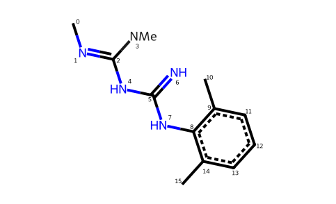 C/N=C(\NC)NC(=N)Nc1c(C)cccc1C